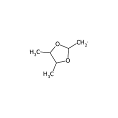 [CH2]C1OC(C)C(C)O1